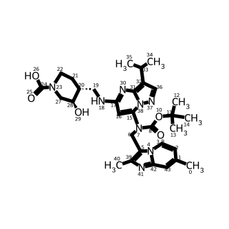 Cc1ccn2c(CN(C(=O)OC(C)(C)C)c3cc(NC[C@H]4CCN(C(=O)O)C[C@@H]4O)nc4c(C(C)C)cnn34)c(C)nc2c1